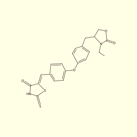 CCN1C(=O)OCC1Cc1ccc(Oc2ccc(/C=C3\SC(=S)NC3=O)cc2)cc1